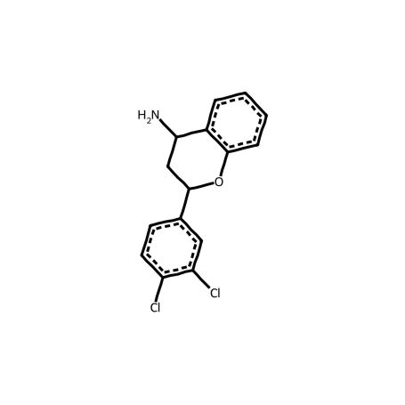 NC1CC(c2ccc(Cl)c(Cl)c2)Oc2ccccc21